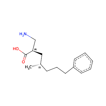 C[C@@H](CCCc1ccccc1)C[C@H](CN)C(=O)O